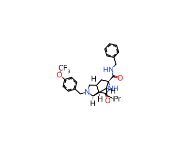 CC(C)C[C@@H]1[C@@H]2[C@@H]3C(=O)N[C@@]1(C(=O)NCc1ccccc1)C[C@@H]3CN2Cc1ccc(OC(F)(F)F)cc1